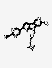 COc1cc2c(cn1)c1ccc(-c3cnc(C#N)nc3)nc1n2COCC[Si](C)(C)C